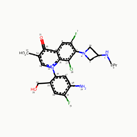 CCCNC1CN(c2c(F)cc3c(=O)c(C(=O)O)cn(-c4cc(N)c(F)cc4CO)c3c2Cl)C1